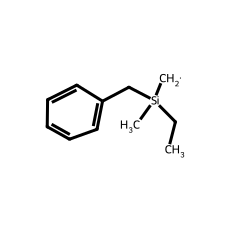 [CH2][Si](C)(CC)Cc1ccccc1